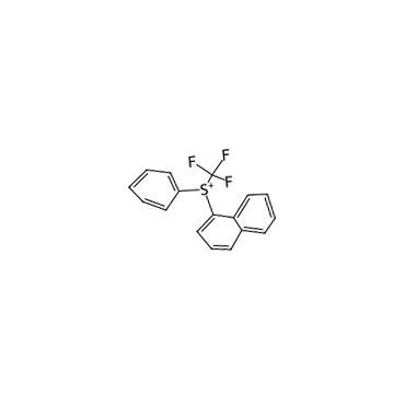 FC(F)(F)[S+](c1ccccc1)c1cccc2ccccc12